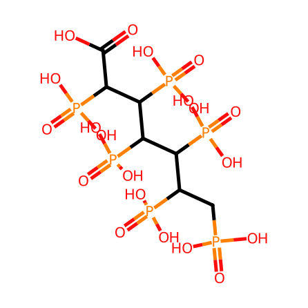 O=C(O)C(C(C(C(C(CP(=O)(O)O)P(=O)(O)O)P(=O)(O)O)P(=O)(O)O)P(=O)(O)O)P(=O)(O)O